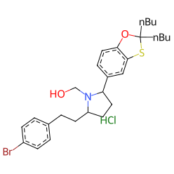 CCCCC1(CCCC)Oc2ccc(C3CCC(CCc4ccc(Br)cc4)N3CO)cc2S1.Cl